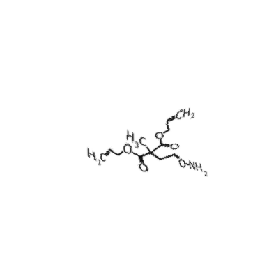 C=CCOC(=O)C(C)(CCON)C(=O)OCC=C